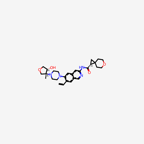 C=Cc1cc2cnc(NC(=O)[C@H]3CC34CCOCC4)cc2cc1N1CCN([C@]2(C)COC[C@@H]2O)CC1